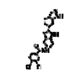 O=C(Nc1ccc2[nH]c(-c3ccc4cn[nH]c4c3)nc2c1)c1ccc(Cl)c(Cl)c1